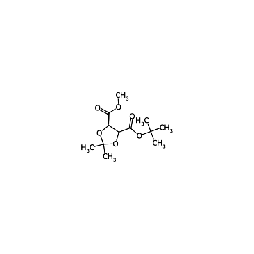 COC(=O)[C@@H]1OC(C)(C)OC1C(=O)OC(C)(C)C